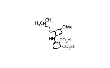 CCOC(=O)c1cccc(Nc2ccc(OC)cc2OCCN(C)C)c1C(=O)O